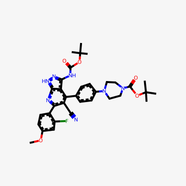 COc1ccc(-c2nc3[nH]nc(NC(=O)OC(C)(C)C)c3c(-c3ccc(N4CCN(C(=O)OC(C)(C)C)CC4)cc3)c2C#N)c(F)c1